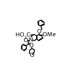 COc1ccc2c(c1OCc1ccccc1)C[C@H](C(=O)O)N(C(=O)[C@@H](OC1CCOCC1)c1ccccc1)C2